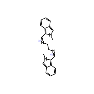 Cn1cc2ccccc2c1/C=N\CC/N=C\c1c2ccccc2cn1C